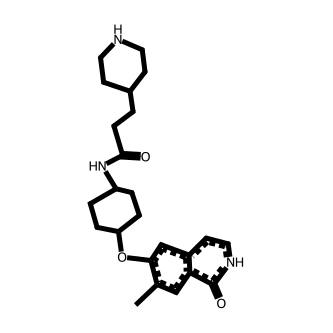 Cc1cc2c(=O)[nH]ccc2cc1OC1CCC(NC(=O)CCC2CCNCC2)CC1